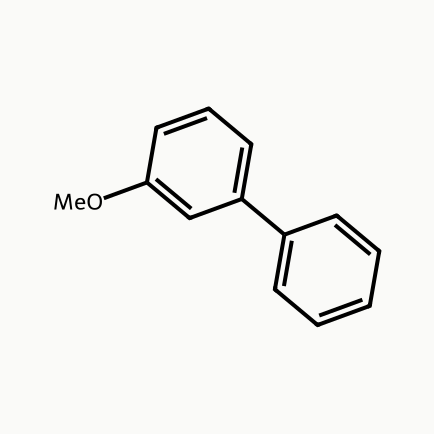 [CH2]Oc1cccc(-c2ccccc2)c1